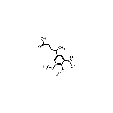 COc1cc(C(C)CCC(=O)O)cc([N+](=O)[O-])c1OC